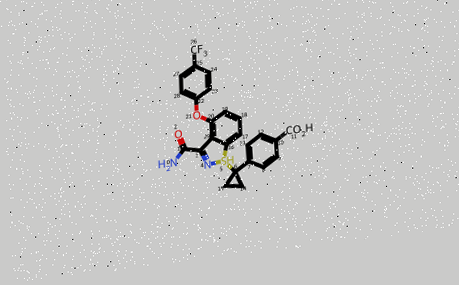 NC(=O)C1=N[SH](C2(c3ccc(C(=O)O)cc3)CC2)c2cccc(Oc3ccc(C(F)(F)F)cc3)c21